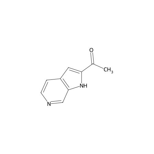 CC(=O)c1cc2ccncc2[nH]1